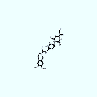 COc1cc2c(cc1OC)CN(C(=O)Oc1ccc(N3C(=O)CC(C(C)C)CC3=O)cn1)CC2